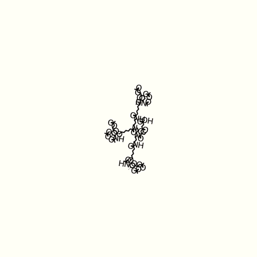 CCC(OC(=O)CCC(=O)O)C(=O)N(CCCNC(=O)CCCCCO[C@@H]1OC(COC(C)=O)[C@H](OC(C)=O)[C@H](C)C1NC(C)=O)CCCN(CCCNC(=O)CCCCCO[C@@H]1OC(COC(C)=O)[C@H](OC(C)=O)[C@H](C)C1NC(C)=O)C(=O)CCCCCO[C@@H]1OC(COC(C)=O)[C@H](OC(C)=O)[C@H](C)C1NC(C)=O